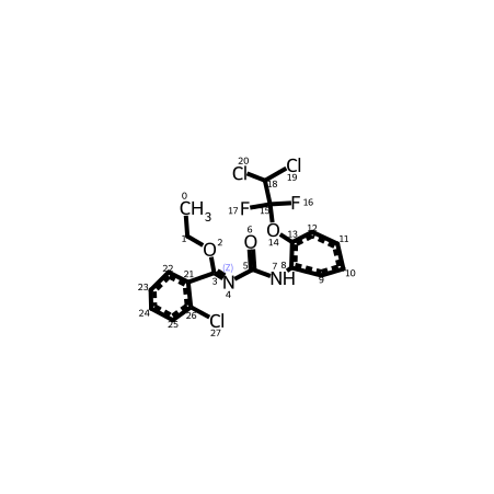 CCO/C(=N\C(=O)Nc1ccccc1OC(F)(F)C(Cl)Cl)c1ccccc1Cl